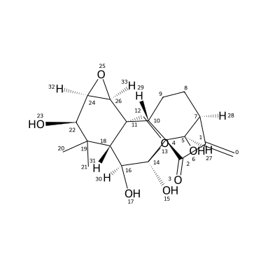 C=C1C(=O)[C@]23[C@H](O)[C@H]1CC[C@H]2[C@@]12CO[C@@]3(O)[C@@H](O)[C@@H]1C(C)(C)[C@@H](O)[C@H]1O[C@H]12